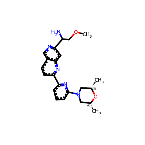 COCC(N)c1cc2nc(-c3cccc(N4C[C@@H](C)O[C@@H](C)C4)n3)ccc2cn1